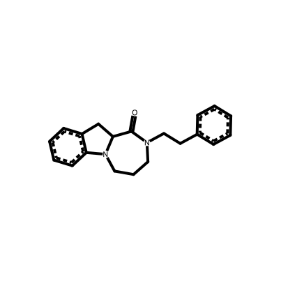 O=C1C2Cc3ccccc3N2CCCN1CCc1ccccc1